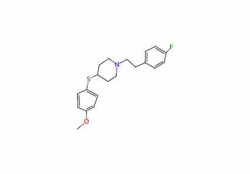 COc1ccc(SC2CCN(CCc3ccc(F)cc3)CC2)cc1